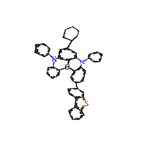 c1ccc(N2c3ccccc3B3c4cc(-c5ccc6c(c5)sc5ccccc56)ccc4N(c4ccccc4)c4cc(C5CCCCC5)cc2c43)cc1